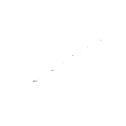 CCCCCCCCC=CCCCCCCCCCCCCCC(N)CCCCCCCCCC